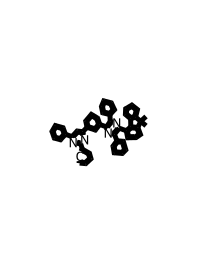 CC1(C)c2ccccc2-c2c(-c3nc(-c4ccccc4)c(-c4cccc(-c5cc(-c6ccccc6)nc(-c6ccccc6)n5)c4)nc3-c3ccccc3)cccc21